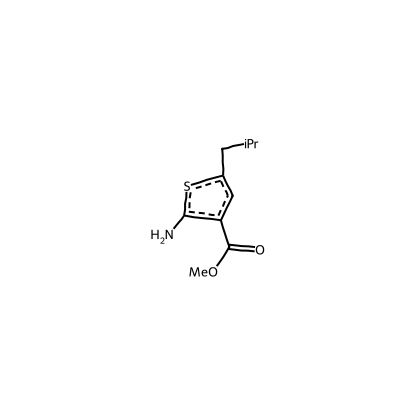 COC(=O)c1cc(CC(C)C)sc1N